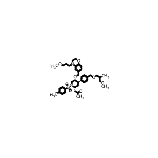 COCCCN1CCOc2ccc(CO[C@H]3CN(S(=O)(=O)c4ccc(C)cc4)[C@@H](CC(C)=O)C[C@@H]3c3ccc(COCC(C)COC)cc3)cc21